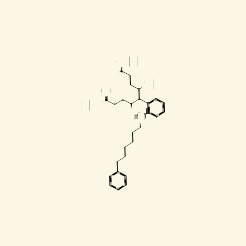 O=C(O)CCC(S)C(c1ccccc1OCCCCCCc1ccccc1)C(S)CCC(=O)O